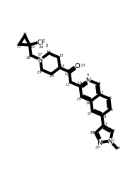 Cn1cc(-c2ccc3cnc(CC(=O)C4CCN(CC5(C(F)(F)F)CC5)CC4)cc3c2)cn1